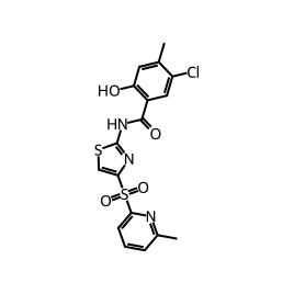 Cc1cccc(S(=O)(=O)c2csc(NC(=O)c3cc(Cl)c(C)cc3O)n2)n1